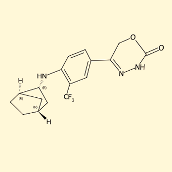 O=C1NN=C(c2ccc(N[C@@H]3C[C@@H]4CC[C@@H]3C4)c(C(F)(F)F)c2)CO1